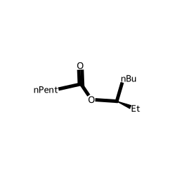 CCCCCC(=O)O[C@H](CC)CCCC